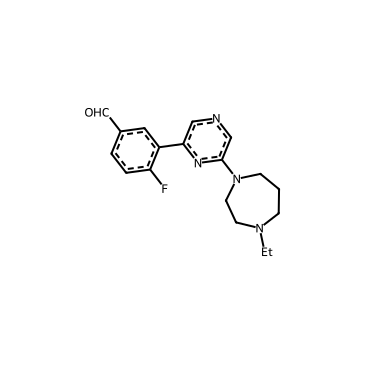 CCN1CCCN(c2cncc(-c3cc(C=O)ccc3F)n2)CC1